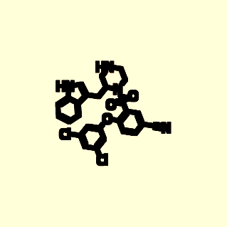 N#Cc1ccc(Oc2cc(Cl)cc(Cl)c2)c(S(=O)(=O)N2CCNCC2Cc2c[nH]c3ccccc23)c1